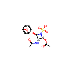 CC(=O)N[C@@H]1C(=O)N(S(=O)(=O)O)[C@H]1OC(C)=O.c1cc2cc(c1)O2